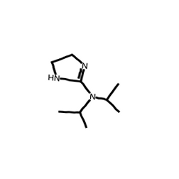 CC(C)N(C1=NCCN1)C(C)C